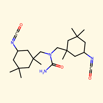 CC1(C)CC(N=C=O)CC(C)(CN(CC2(C)CC(N=C=O)CC(C)(C)C2)C(N)=O)C1